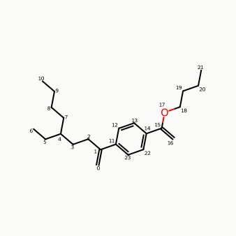 C=C(CCC(CC)CCCC)c1ccc(C(=C)OCCCC)cc1